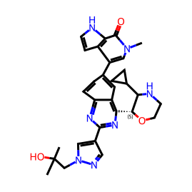 Cn1cc(-c2ccc3nc(-c4cnn(CC(C)(C)O)c4)nc([C@H]4OCCNC4C4CC4)c3c2)c2cc[nH]c2c1=O